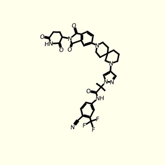 CC(C)(C(=O)Nc1ccc(C#N)c(C(F)(F)F)c1)n1cc(N2CCCC3(CCN(c4ccc5c(c4)C(=O)N(C4CCC(=O)NC4=O)C5=O)CC3)C2)cn1